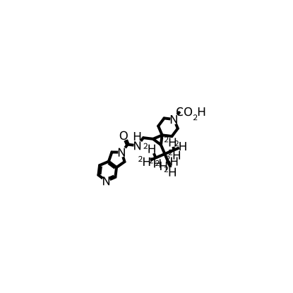 [2H]C([2H])([2H])C(C1C(CNC(=O)N2Cc3ccncc3C2)C12CCN(C(=O)O)CC2)(C([2H])([2H])[2H])C([2H])([2H])[2H]